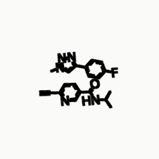 C#Cc1ccc(C(=O)NC(C)C)cn1.Cn1cc(-c2ccc(F)cc2)nn1